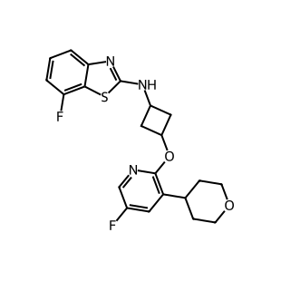 Fc1cnc(OC2CC(Nc3nc4cccc(F)c4s3)C2)c(C2CCOCC2)c1